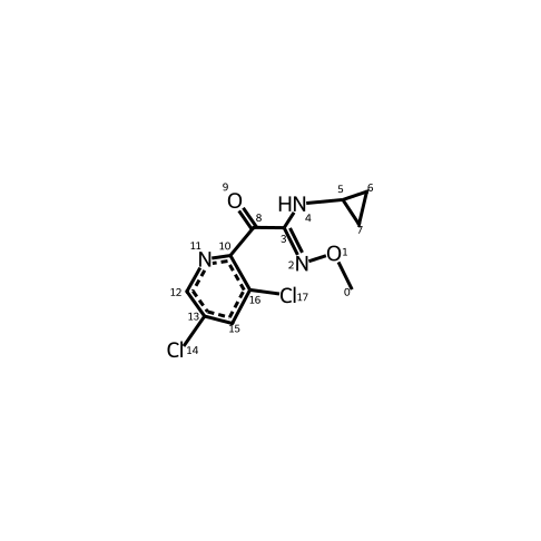 CON=C(NC1CC1)C(=O)c1ncc(Cl)cc1Cl